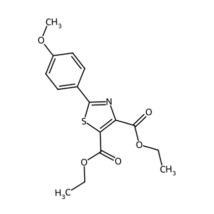 CCOC(=O)c1nc(-c2ccc(OC)cc2)sc1C(=O)OCC